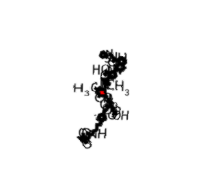 Cc1c(-c2ccc(N3CCc4cccc(C(=O)Nc5nc6ccccc6s5)c4C3)nc2C(=O)O)cnn1CC12CC3(C)CC(C)(C1)CC(OCCN(CCS(=O)(=O)O)C(=O)OCc1[c]cc(CCCCNC(=O)CN4C(=O)C=CC4=O)cc1)(C3)C2